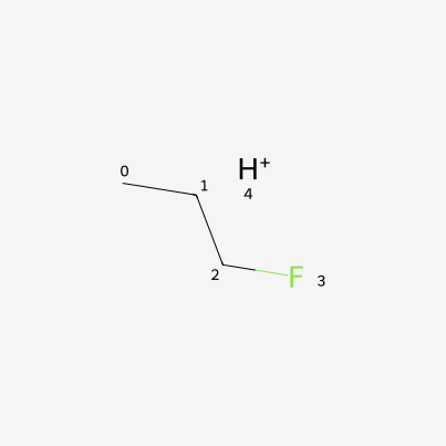 CCCF.[H+]